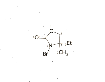 CCC1(C)COC(=O)N1Br